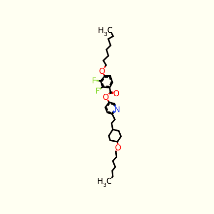 CCCCCCCCOc1ccc(C(=O)Oc2ccc(CCC3CCC(OCCCCCCC)CC3)nc2)c(F)c1F